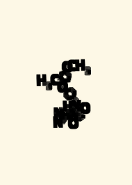 COc1ccc(Oc2ccc(CNC(=O)C3(NC(=O)c4cncnc4)CC3)cc2)c(C)c1